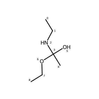 CCNC(C)(O)OCC